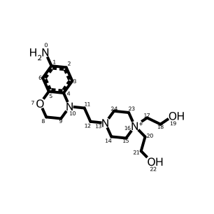 Nc1ccc2c(c1)OCCN2CCN1CC[N+](CCO)(CCO)CC1